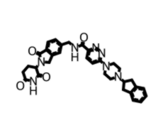 O=C1CCC(N2Cc3cc(CNC(=O)c4ccc(N5CCN(C6Cc7ccccc7C6)CC5)nn4)ccc3C2=O)C(=O)N1